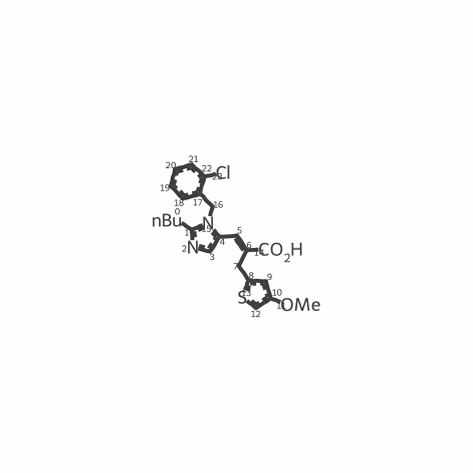 CCCCc1ncc(C=C(Cc2cc(OC)cs2)C(=O)O)n1Cc1ccccc1Cl